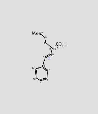 CSCC[C@@H](/N=C/c1ccccc1)C(=O)O